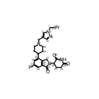 CC(C)Cn1cc(CN2CCC(c3cc(F)cc4c3CN(C3CCC(=O)NC3=O)C4=O)CC2)cn1